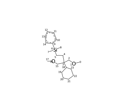 COCC(CC[Si](C)(C)c1ccccc1)(COC)C1CCCCC1